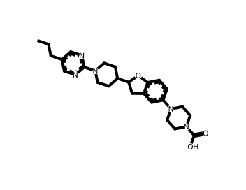 CCCc1cnc(N2CCC(C3Cc4cc(N5CCN(C(=O)O)CC5)ccc4O3)CC2)nc1